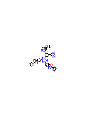 C=N/C=C(\C=N/C)c1cc(-c2cncnc2)cc(-c2nc(-c3ccc4nc(-c5ccccc5)oc4c3)nc(-c3ccc4nc(-c5ccccc5)oc4c3)n2)c1